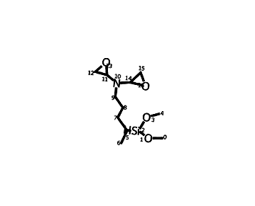 CO[SiH](OC)C(C)CCCN(C1CO1)C1CO1